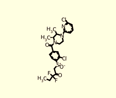 CCC(F)(F)C(=O)C[S+]([O-])c1ccc(C(=O)N2CCN(c3cccc(Cl)n3)C(C)[C@@H]2C)cc1Cl